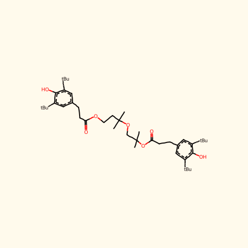 CC(C)(CCOC(=O)CCc1cc(C(C)(C)C)c(O)c(C(C)(C)C)c1)OCC(C)(C)OC(=O)CCc1cc(C(C)(C)C)c(O)c(C(C)(C)C)c1